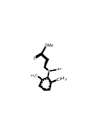 [CH2]C(=O)N(CCC(=O)OC)c1c(C)cccc1C